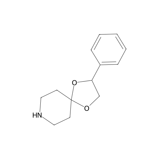 c1ccc(C2COC3(CCNCC3)O2)cc1